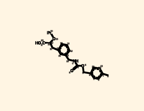 Cc1ccc(COC(=O)NCc2cccc(C[C@H](OC(C)C)C(=O)O)c2)cn1